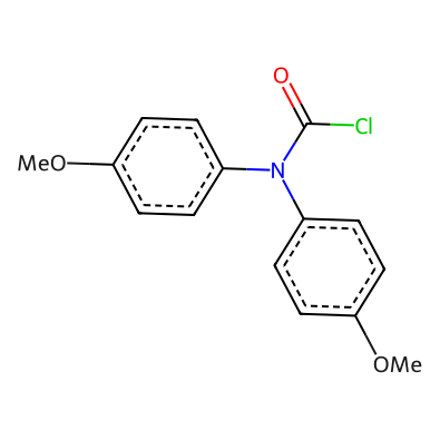 COc1ccc(N(C(=O)Cl)c2ccc(OC)cc2)cc1